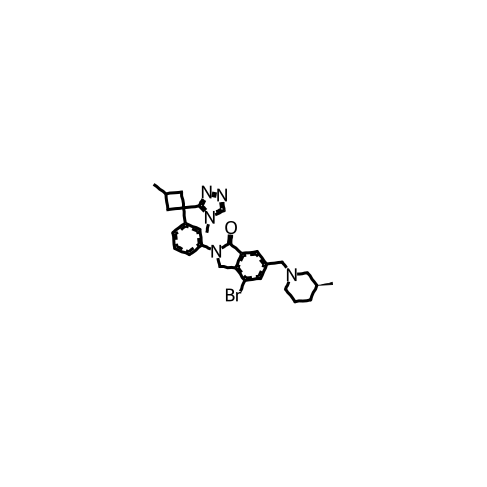 CC1CC(c2cccc(N3Cc4c(Br)cc(CN5CCC[C@H](C)C5)cc4C3=O)c2)(c2nncn2C)C1